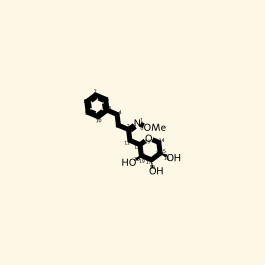 CON=C(CCc1ccccc1)CC1OC[C@@H](O)[C@H](O)[C@H]1O